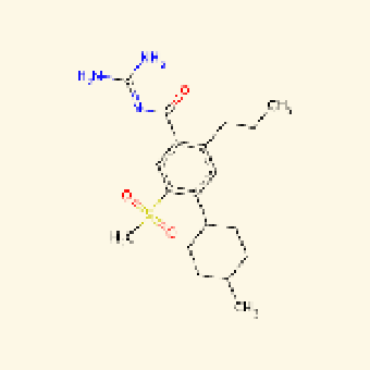 CCCc1cc(C2CCC(C)CC2)c(S(C)(=O)=O)cc1C(=O)N=C(N)N